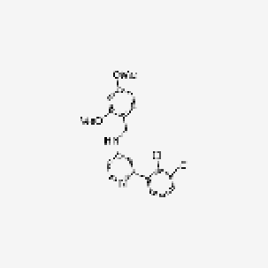 COc1ccc(CNc2ccnc(-c3cccc(Cl)c3Cl)c2)c(OC)c1